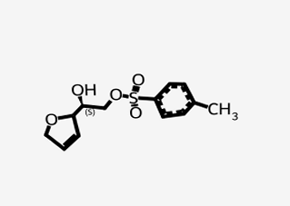 Cc1ccc(S(=O)(=O)OC[C@H](O)C2C=CCO2)cc1